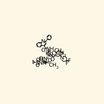 C=C[C@@H]1C[C@]1(NC(=O)[C@@H]1C[C@@H](NC(=O)c2cc(-c3ccccc3)nc3ccccc23)CN1C(=O)[C@@H](CC(=O)N1CCC(F)(F)CC1)C(C)(C)C)C(=O)NS(=O)(=O)C1CC1